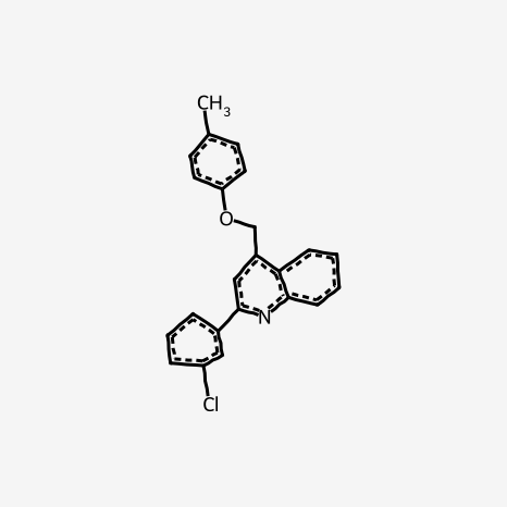 Cc1ccc(OCc2cc(-c3cccc(Cl)c3)nc3ccccc23)cc1